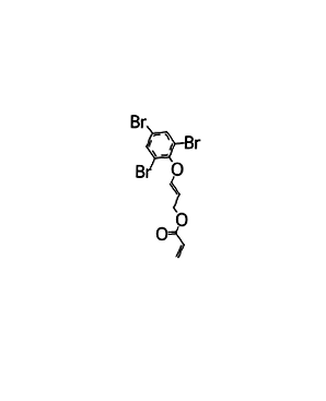 C=CC(=O)OCC=COc1c(Br)cc(Br)cc1Br